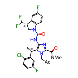 CNC(=O)c1nc(NC(=O)N2C[C@H](C(F)F)c3cc(F)ccc32)c([C@H](C)c2cc(F)ccc2Cl)n1CC(C)=O